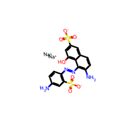 Nc1ccc(N=Nc2c(N)ccc3cc(S(=O)(=O)[O-])cc(O)c23)c(S(=O)(=O)[O-])c1.[Na+].[Na+]